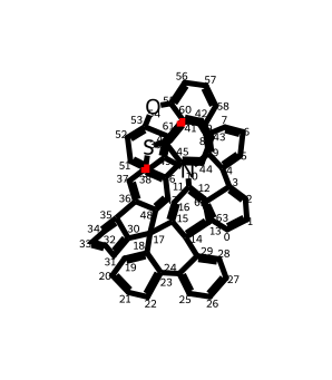 c1ccc(-c2ccccc2N(c2ccc3c(c2)C2(c4ccccc4-c4ccccc4-3)c3ccccc3-c3cc4sc5ccccc5c4cc32)c2cccc3oc4ccccc4c23)cc1